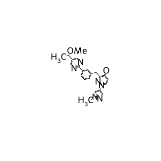 COC(C)c1cnc(-c2cccc(Cc3nn(-c4cnn(C)c4)ccc3=O)c2)nc1